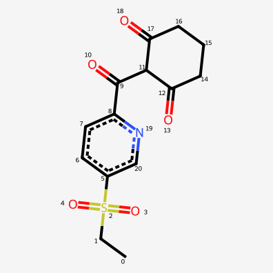 CCS(=O)(=O)c1ccc(C(=O)C2C(=O)CCCC2=O)nc1